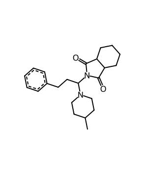 CC1CCN(C(CCc2ccccc2)N2C(=O)C3CCCCC3C2=O)CC1